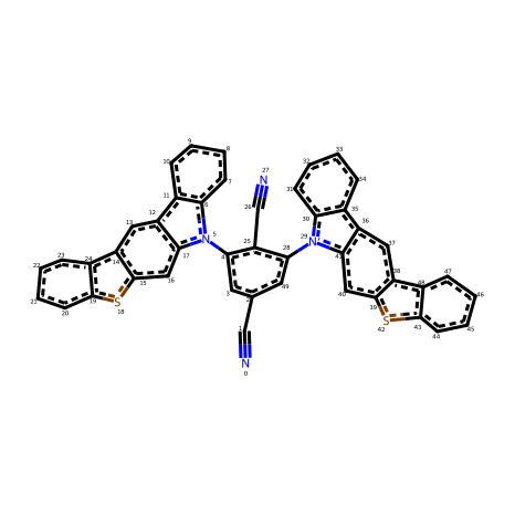 N#Cc1cc(-n2c3ccccc3c3cc4c(cc32)sc2ccccc24)c(C#N)c(-n2c3ccccc3c3cc4c(cc32)sc2ccccc24)c1